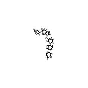 CN1CC=C(c2cnc(N3CCOC(Cn4nnc5ncc(-c6cnn(C)c6)nc54)C3)nc2)CC1